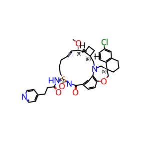 CO[C@H]1/C=C/CCC[S@@](=O)(NC(=O)CCc2ccncc2)=NC(=O)c2ccc3c(c2)N(C[C@@H]2CC[C@H]21)C[C@@]1(CCCc2cc(Cl)ccc21)CO3